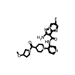 COC1CCN(C(=O)C2CCN(c3ccncc3NC(=O)c3c(N)nn4cc(F)cnc34)CC2)C1